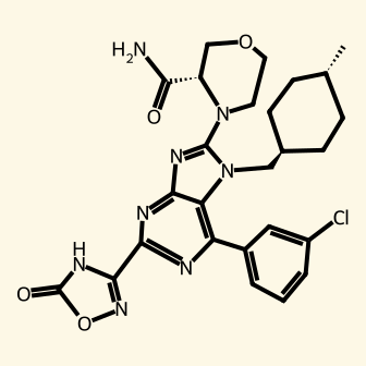 C[C@H]1CC[C@H](Cn2c(N3CCOC[C@H]3C(N)=O)nc3nc(-c4noc(=O)[nH]4)nc(-c4cccc(Cl)c4)c32)CC1